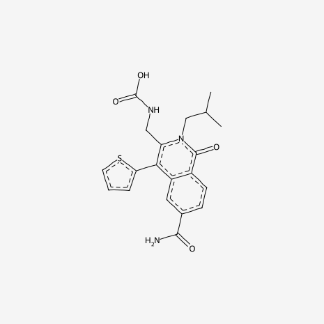 CC(C)Cn1c(CNC(=O)O)c(-c2cccs2)c2cc(C(N)=O)ccc2c1=O